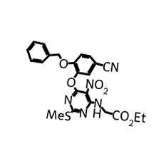 CCOC(=O)CNc1nc(SC)nc(Oc2cc(C#N)ccc2OCc2ccccc2)c1[N+](=O)[O-]